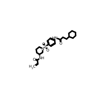 C=CC(=O)N[C@H]1CCCN(S(=O)(=O)c2ccc(NC(=O)CCC3CCCCC3)cc2)C1